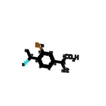 CCC(C(=O)O)c1ccc(C(C)F)c(Br)c1